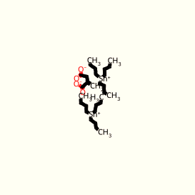 C=C(CC(=O)[O-])C(=O)[O-].CCC[CH2][Sn+]([CH2]CCC)[CH2]CCC.CCC[CH2][Sn+]([CH2]CCC)[CH2]CCC